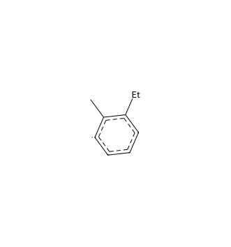 CCc1ccc[c]c1C